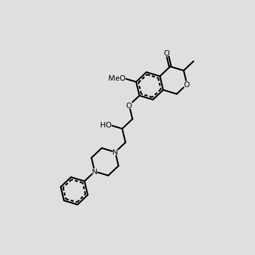 COc1cc2c(cc1OCC(O)CN1CCN(c3ccccc3)CC1)COC(C)C2=O